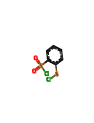 O=S(=O)(Cl)c1ccccc1SCl